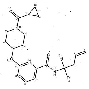 C=CCC(CC)(CC)NC(=O)c1cccc(OC2CCN(C(=O)C3CC3)CC2)c1